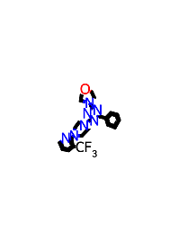 FC(F)(F)c1cccnc1N1CCN(c2nc(-c3ccccc3)nc(N3CCOCC3)n2)CC1